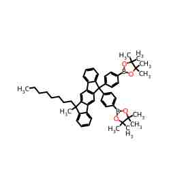 CCCCCCCCC1(C)c2ccccc2-c2cc3c(cc21)-c1ccccc1C3(c1ccc(B2OC(C)(C)C(C)(C)O2)cc1)c1ccc(B2OC(C)(C)C(C)(C)O2)cc1